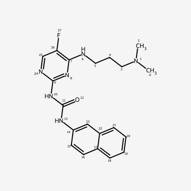 CN(C)CCCNc1nc(NC(=O)Nc2ccc3ccccc3c2)ncc1F